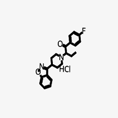 CCC(C(=O)c1ccc(F)cc1)N1CCC(c2noc3ccccc23)CC1.Cl